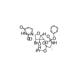 CC(C)OC(=O)[C@@H](C)NP(=O)(Oc1ccccc1)OC1[C@H]2O[C@@H](n3ccc(=O)[nH]c3=O)[C@](Cl)(Br)[C@@]12O